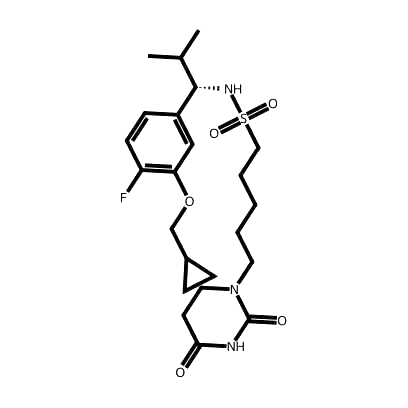 CC(C)[C@H](NS(=O)(=O)CCCCCN1CCC(=O)NC1=O)c1ccc(F)c(OCC2CC2)c1